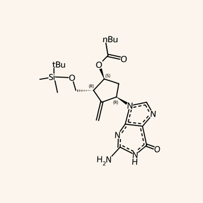 C=C1[C@H](n2cnc3c(=O)[nH]c(N)nc32)C[C@H](OC(=O)CCCC)[C@H]1CO[Si](C)(C)C(C)(C)C